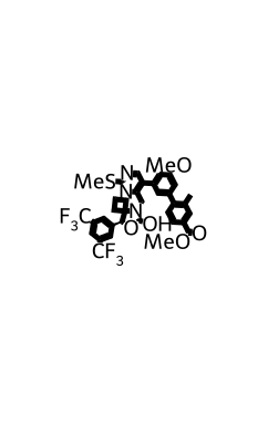 COC(=O)c1ccc(-c2ccc(OC)c(-c3cnc(SC)nc3CN3C(O)O[C@@H](c4cc(C(F)(F)F)cc(C(F)(F)F)c4)C34CCC4)c2)c(C)c1